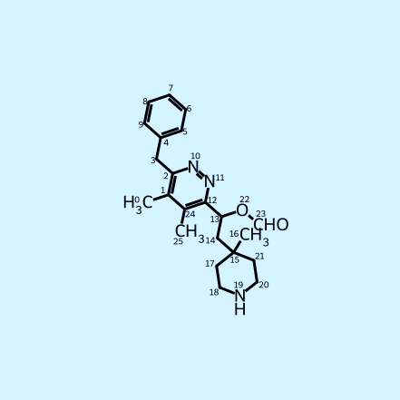 Cc1c(Cc2ccccc2)nnc(C(CC2(C)CCNCC2)OC=O)c1C